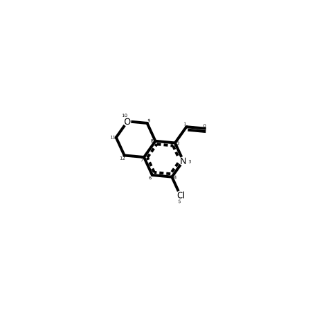 C=Cc1nc(Cl)cc2c1COCC2